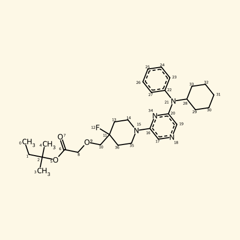 CCC(C)(C)OC(=O)COCC1(F)CCN(c2cncc(N(c3ccccc3)C3CCCCC3)n2)CC1